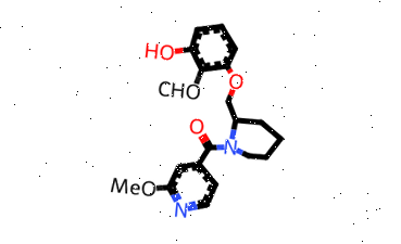 COc1cc(C(=O)N2CCCCC2COc2cccc(O)c2C=O)ccn1